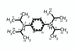 CC(C)[SiH](c1ccc([SiH](C(C)C)C(C)C)cc1)C(C)C